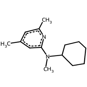 Cc1cc(C)nc(N(C)C2CCCCC2)c1